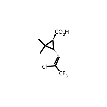 CC1(C)[C@@H](C=C(Cl)C(F)(F)F)[C@@H]1C(=O)O